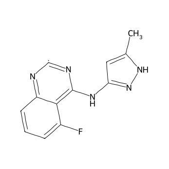 Cc1cc(Nc2n[c]nc3cccc(F)c23)n[nH]1